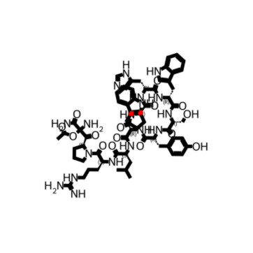 CC(=O)OC(N)(C(N)=O)C(=O)[C@@H]1CCCN1C(=O)[C@H](CCCNC(=N)N)NC(=O)[C@H](CC(C)C)NC(=O)[C@@H](Cc1c[nH]c2ccccc12)NC(=O)[C@@H](Cc1ccc(O)cc1)NC(=O)[C@@H](CO)NC(=O)[C@@H](Cc1c[nH]c2ccccc12)NC(=O)[C@@H](Cc1cnc[nH]1)NC(=O)[C@H]1CCC(=O)N1